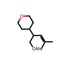 COCC(C=C(C)C)C1CCOCC1